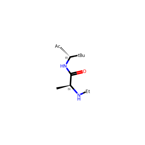 CCN[C@@H](C)C(=O)N[C@H](C(C)=O)C(C)(C)C